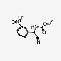 CCOC(=O)NC(C#N)c1cccc([N+](=O)[O-])c1